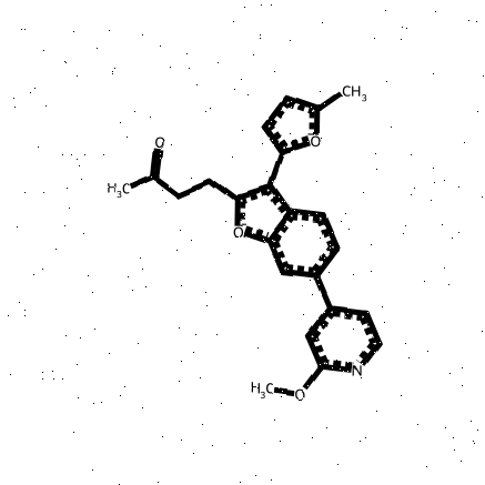 COc1cc(-c2ccc3c(-c4ccc(C)o4)c(CCC(C)=O)oc3c2)ccn1